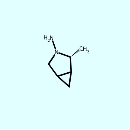 C[C@@H]1C2CC2CN1N